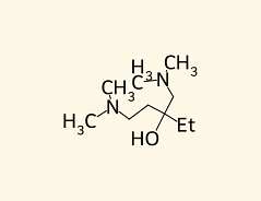 CCC(O)(CCN(C)C)CN(C)C